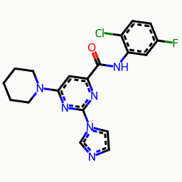 O=C(Nc1cc(F)ccc1Cl)c1cc(N2CCCCC2)nc(-n2ccnc2)n1